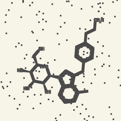 Cc1cccc2c1c(Cc1ccc(CCC(=O)O)cc1)cn2[C@@H]1O[C@H](CO)[C@@H](O)[C@H](O)[C@H]1O